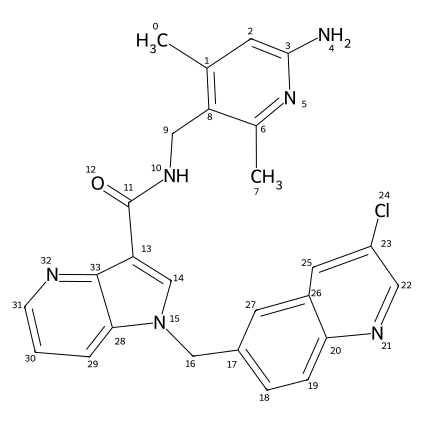 Cc1cc(N)nc(C)c1CNC(=O)c1cn(Cc2ccc3ncc(Cl)cc3c2)c2cccnc12